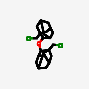 ClCC12CC3CC(CC(C3)C1OC1C3CC4CC(C3)CC1(CCl)C4)C2